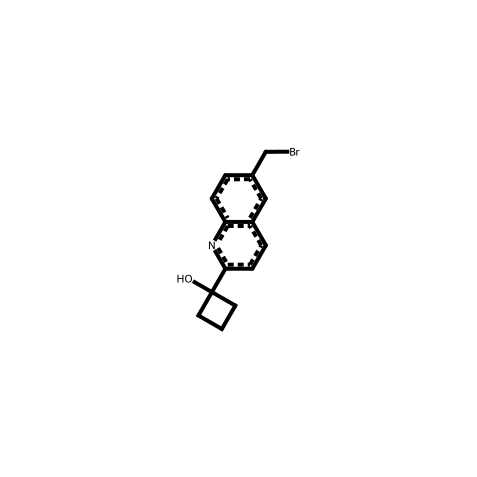 OC1(c2ccc3cc(CBr)ccc3n2)CCC1